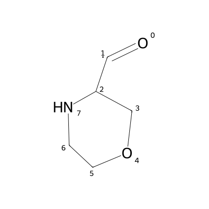 O=[C]C1COCCN1